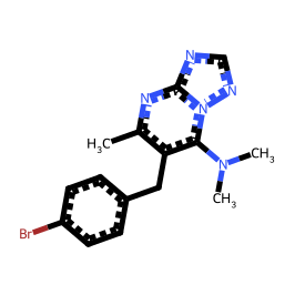 Cc1nc2ncnn2c(N(C)C)c1Cc1ccc(Br)cc1